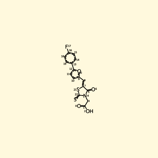 O=C(O)CN1C(=O)C(=Cc2ccc(-c3ccc(F)cc3)o2)SC1=S